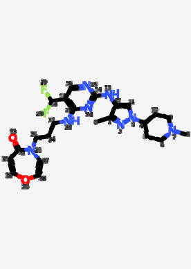 Cc1nn(C2CCN(C)CC2)cc1Nc1ncc(C(F)F)c(NCCCN2C=COC=CC2=O)n1